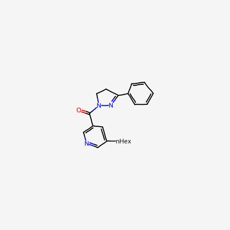 CCCCCCc1cncc(C(=O)N2CCC(c3ccccc3)=N2)c1